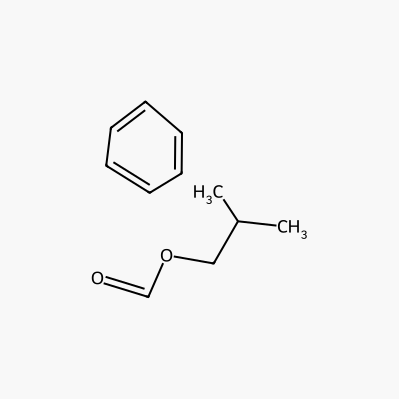 CC(C)COC=O.c1ccccc1